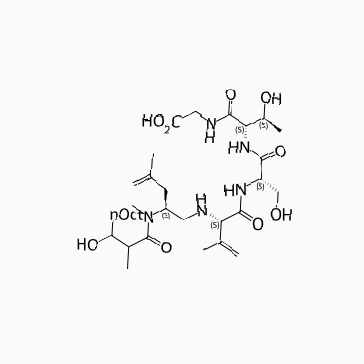 C=C(C)C[C@@H](CN[C@@H](C(=C)C)C(=O)N[C@@H](CO)C(=O)N[C@H](C(=O)NCC(=O)O)[C@H](C)O)N(C)C(=O)C(C)C(O)CCCCCCCC